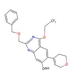 COc1cc2nc(COCc3ccccc3)nc(OCC(F)(F)F)c2cc1C1=CCOCC1